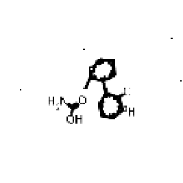 NC(=O)O.[2H]c1cccc(-c2ccccc2C)c1Cl